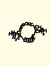 CC1CCCOCOCCCC(C)C(CCO)C(C)CCCOCOCCCC(C)C1CCO